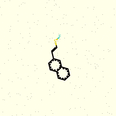 FSC=Cc1ccc2ccccc2c1